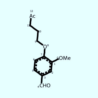 COc1cc(C=O)ccc1OCCCC(C)=O